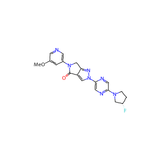 COc1cncc(N2Cc3nn(-c4cnc(N5CC[C@H](F)C5)cn4)cc3C2=O)c1